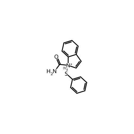 NC(=O)[N@+]1(Sc2ccccc2)C=Cc2ccccc21